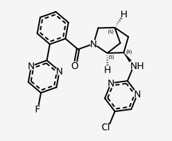 O=C(c1ccccc1-c1ncc(F)cn1)N1C[C@H]2C[C@@H](Nc3ncc(Cl)cn3)[C@@H]1C2